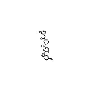 N#Cc1ccc2ncc(-c3nccc(N[C@@H]4CCCN(C(=O)Cc5c[nH]cn5)C4)n3)n2c1